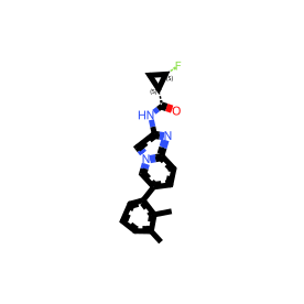 Cc1cccc(-c2ccc3nc(NC(=O)[C@@H]4C[C@@H]4F)cn3c2)c1C